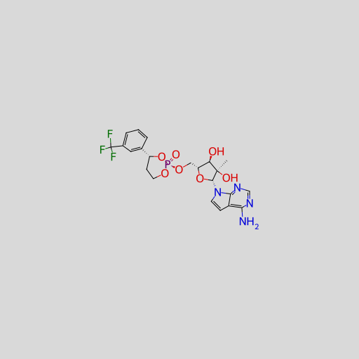 C[C@@]1(O)[C@H](O)[C@@H](CO[P@@]2(=O)OCC[C@H](c3cccc(C(F)(F)F)c3)O2)O[C@H]1n1ccc2c(N)ncnc21